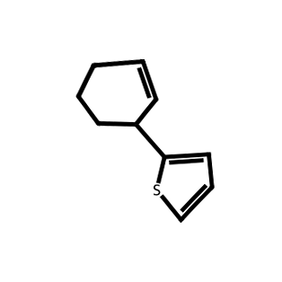 C1=CC(c2cccs2)CCC1